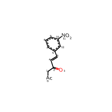 CC(=O)CC(=O)C=Cc1cccc([N+](=O)[O-])c1